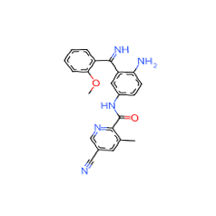 COc1ccccc1C(=N)c1cc(NC(=O)c2ncc(C#N)cc2C)ccc1N